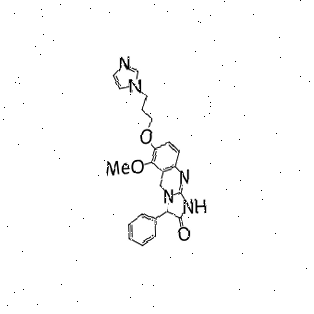 COc1c(OCCCn2ccnc2)ccc2c1CN1C(=N2)NC(=O)C1c1ccccc1